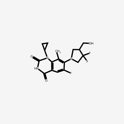 Cc1c(N2CC(CO)C(F)(F)C2)c(F)cc2c(=O)[nH]c(=O)n(C3CC3)c12